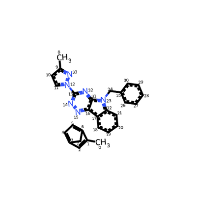 CC1=CC2=CC=C1C2.Cc1ccn(-c2nnc3c4ccccc4n(Cc4ccccc4)c3n2)n1